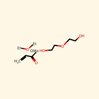 C=CC(=O)OC.CCOCC.OCCOCCO